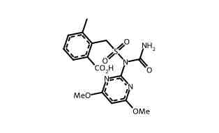 COc1cc(OC)nc(N(C(N)=O)S(=O)(=O)Cc2c(C)cccc2C(=O)O)n1